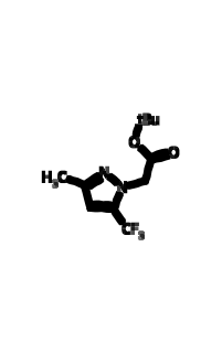 Cc1cc(C(F)(F)F)n(CC(=O)OC(C)(C)C)n1